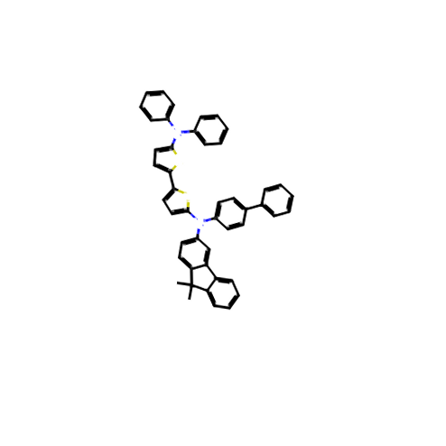 CC1(C)c2ccccc2-c2cc(N(c3ccc(-c4ccccc4)cc3)c3ccc(-c4ccc(N(c5ccccc5)c5ccccc5)s4)s3)ccc21